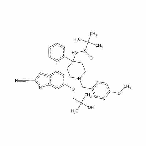 COc1ccc(CN2CCC(N[S+]([O-])C(C)(C)C)(c3ccccc3-c3cc(OCC(C)(C)O)cn4nc(C#N)cc34)CC2)cn1